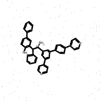 Nc1ccc(-c2ccccc2)cc1C(c1ccccc1)[C@@H](N)c1cc(-c2ccncc2)cc(-c2ccc(-c3ccncc3)cc2)c1